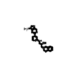 Cn1cnc2cnc(-c3ccnc(NCC(O)CN4CCc5ccccc5C4)c3)nc21